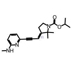 CNc1cccc(C#C/C=C2\CCN(C(=O)OC(C)C)C2(C)C)n1